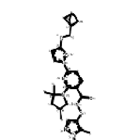 Cc1c(SNC(=O)c2ccc(-n3ccc(OCC45CC(C4)C5)n3)nc2N2C[C@@H](C)CC2(C)C)cnn1C